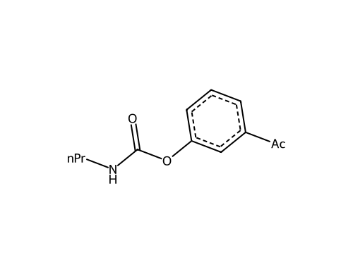 CCCNC(=O)Oc1cccc(C(C)=O)c1